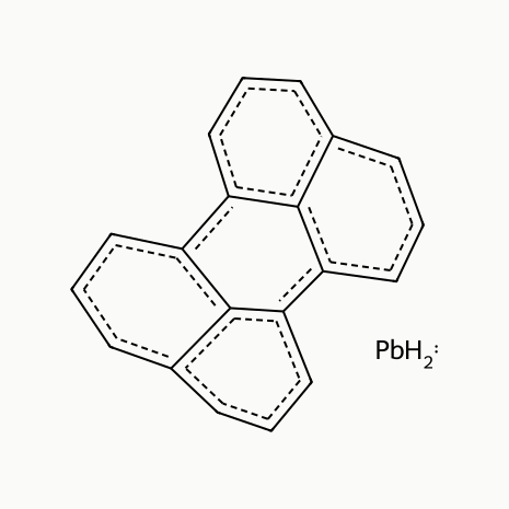 [PbH2].c1cc2cccc3c4cccc5cccc(c(c1)c23)c54